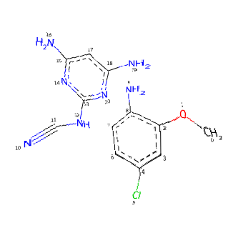 COc1cc(Cl)ccc1N.N#CNc1nc(N)cc(N)n1